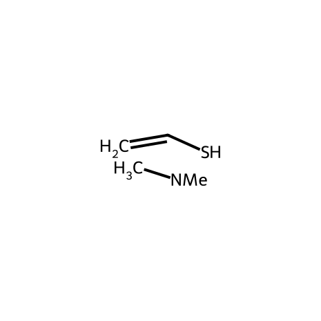 C=CS.CNC